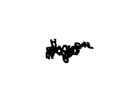 CCN(C)CCOc1ccc2c(c1)CN(C(=O)c1cc3c(CN4CCCC4=O)n[nH]c3cc1O)C2